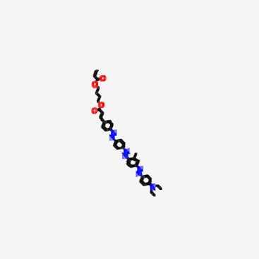 C=CC(=O)OCCCCOC(=O)C=Cc1ccc(N=Nc2ccc(N=Nc3ccc(N=Nc4ccc(N(CC)CC)cc4)cc3C)cc2)cc1